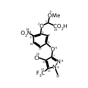 COC(Oc1cc(Oc2nn(C)c(C(F)(F)F)c2Cl)ccc1[N+](=O)[O-])C(=O)O